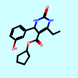 CCC1=C(C(=O)OC2CCCC2)C(c2cccc(O)c2)NC(=O)N1